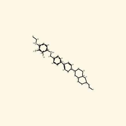 CCCC1CCC2CC(C3C=CC(c4ccc(COc5ccc(OCC)c(F)c5F)cc4)=CC3)CCC2C1